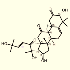 CC(C)(O)/C=C/C(=O)C(C)(O)[C@H]1[C@H](O)C[C@@]2(C)[C@@H]3CC=C4[C@@H](CC(=O)[C@H](O)C4(C)C)[C@]3(C)C(=O)C[C@]12C